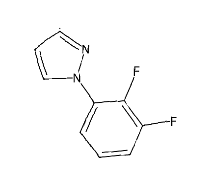 Fc1cccc(-n2cc[c]n2)c1F